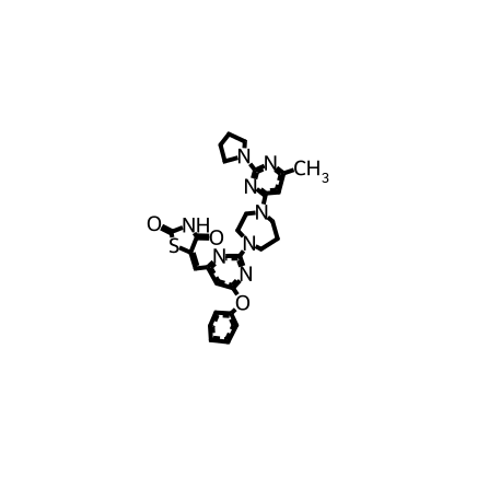 Cc1cc(N2CCCN(c3nc(C=C4SC(=O)NC4=O)cc(Oc4ccccc4)n3)CC2)nc(N2CCCC2)n1